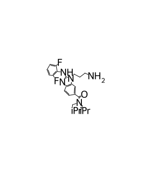 CC(C)CN(CC(C)C)C(=O)c1ccc2nc(Nc3c(F)cccc3F)n(CCCN)c2c1